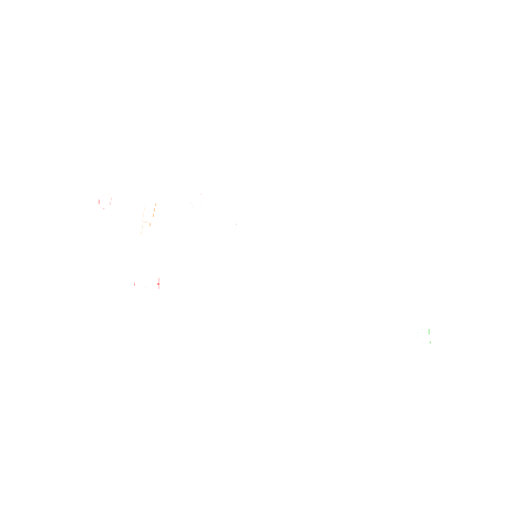 CC(C)(O[PH](=O)O)c1ccc(Cl)cc1